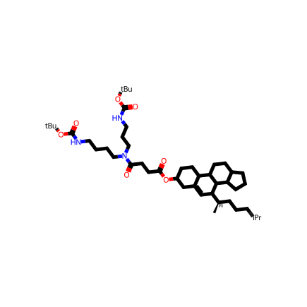 CC(C)CCC[C@@H](C)C1C=C2CC(OC(=O)CCC(=O)N(CCCCNC(=O)OC(C)(C)C)CCCNC(=O)OC(C)(C)C)CCC2C2CCC3CCCC3C21